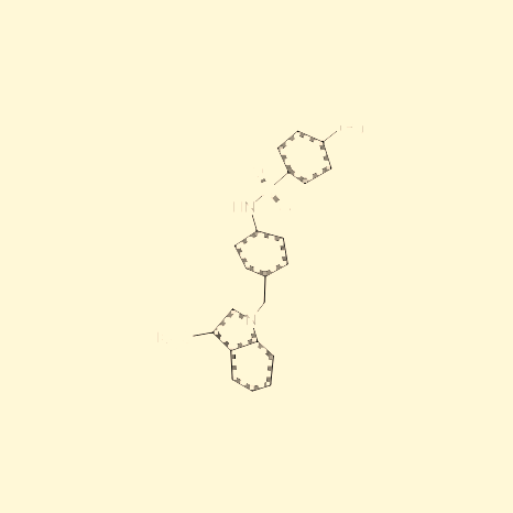 CC(C)(C)c1ccc(S(=O)(=O)Nc2ccc(Cn3cc(C(=O)O)c4ccccc43)cc2)cc1